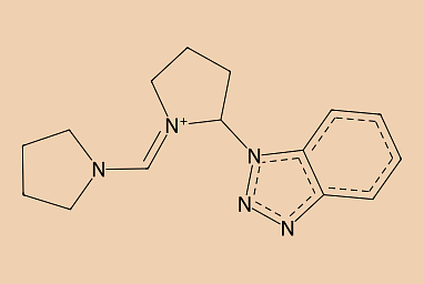 C(N1CCCC1)=[N+]1CCCC1n1nnc2ccccc21